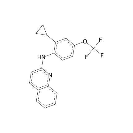 FC(F)(F)Oc1ccc(Nc2ccc3ccccc3n2)c(C2CC2)c1